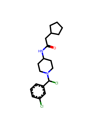 O=C(CC1CCCC1)NC1CCN(C(Cl)c2cccc(Cl)c2)CC1